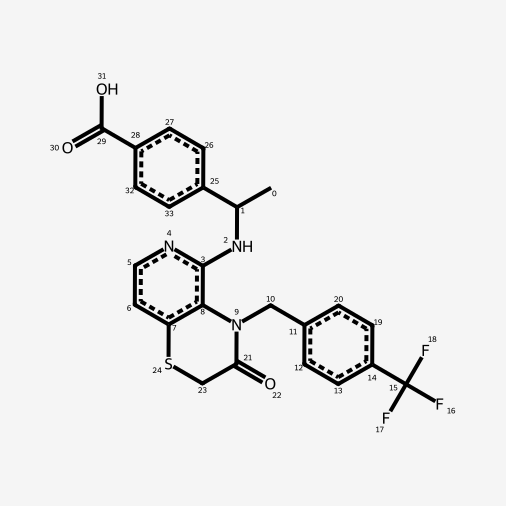 CC(Nc1nccc2c1N(Cc1ccc(C(F)(F)F)cc1)C(=O)CS2)c1ccc(C(=O)O)cc1